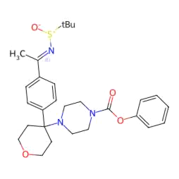 C/C(=N\[S+]([O-])C(C)(C)C)c1ccc(C2(N3CCN(C(=O)Oc4ccccc4)CC3)CCOCC2)cc1